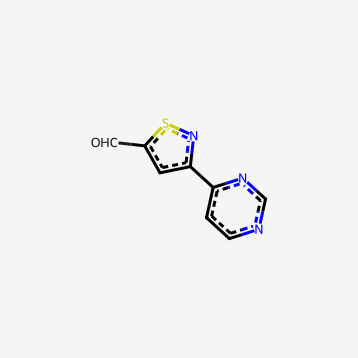 O=Cc1cc(-c2ccncn2)ns1